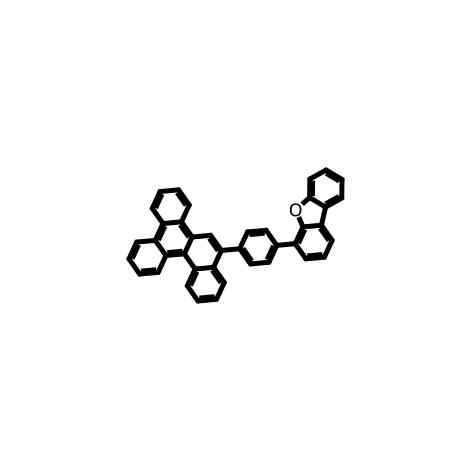 c1ccc2c(c1)oc1c(-c3ccc(-c4cc5c6ccccc6c6ccccc6c5c5ccccc45)cc3)cccc12